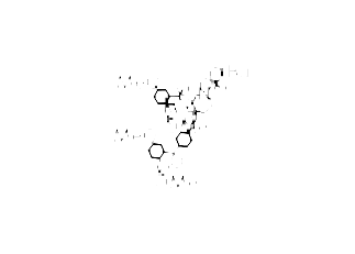 COCOc1ccc(OC)cc1C(=O)N[C@@H]1CN(OC(=O)OC(C)(C)C)CCC[C@H]1OCc1ccc(C(=O)c2cc(OC)ccc2OCOC)cc1